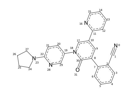 N#Cc1ccccc1-c1cc(-c2ccccn2)cn(-c2ccc(N3CCCC3)nc2)c1=O